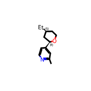 CC[C@H]1CCO[C@@H](c2ccnc(C)c2)C1